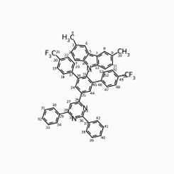 Cc1ccc2c(c1)c1cc(C)ccc1n2-c1c(-c2ccc(C(F)(F)F)cc2)cc(-c2cc(-c3ccccc3)nc(-c3ccccc3)n2)cc1-c1ccc(C(F)(F)F)cc1